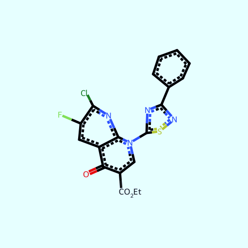 CCOC(=O)c1cn(-c2nc(-c3ccccc3)ns2)c2nc(Cl)c(F)cc2c1=O